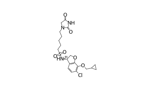 O=C1CN(CCCCCS(=O)(=O)N[C@H]2COc3c2ccc(Cl)c3OCC2CC2)C(=O)N1